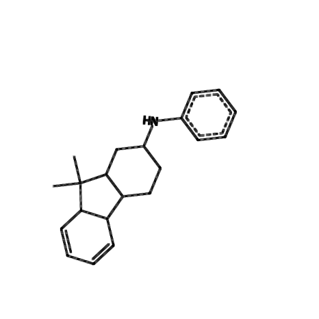 CC1(C)C2C=CC=CC2C2CCC(Nc3ccccc3)CC21